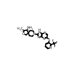 C[C@@H]1OCC2(CCN(c3nc4nc(Sc5cccnc5C(F)(F)F)cnc4[nH]3)CC2)[C@@H]1N